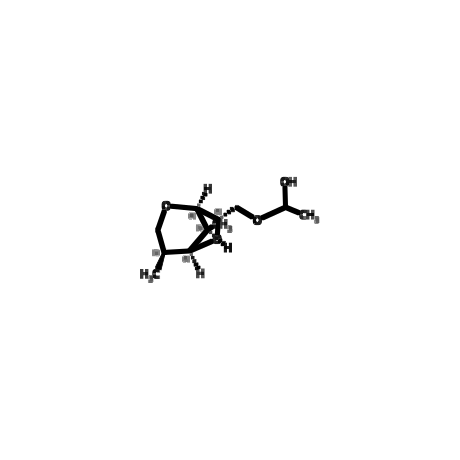 CC(O)OC[C@@H]1O[C@@H]2[C@H](C)[C@H]1OC[C@@H]2C